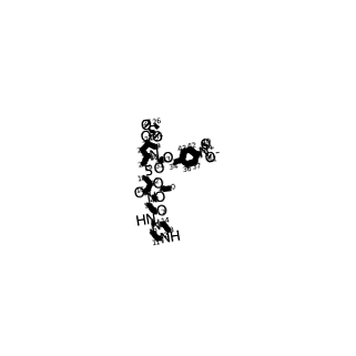 CC(=O)ON(CC(=O)NN1CCNCC1)C(=O)CCSCC1CC(OS(C)(=O)=O)CN1C(=O)OCc1ccc([N+](=O)[O-])cc1